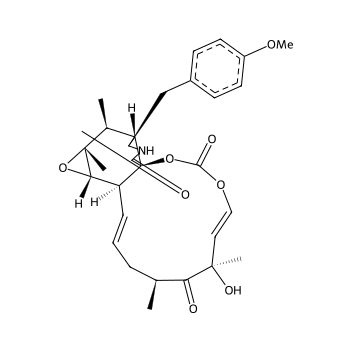 COc1ccc(C[C@@H]2NC(=O)[C@@]34OC(=O)O/C=C/[C@@](C)(O)C(=O)[C@@H](C)C/C=C/[C@H]3[C@@H]3O[C@]3(C)[C@@H](C)[C@@H]24)cc1